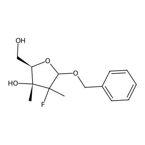 CC1(F)C(OCc2ccccc2)O[C@H](CO)[C@@]1(C)O